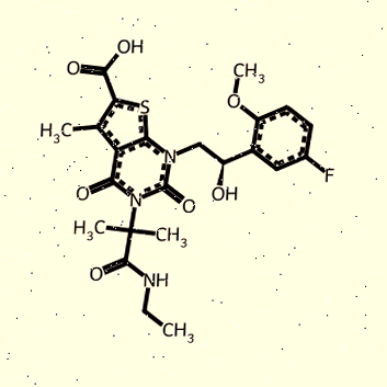 CCNC(=O)C(C)(C)n1c(=O)c2c(C)c(C(=O)O)sc2n(C[C@H](O)c2cc(F)ccc2OC)c1=O